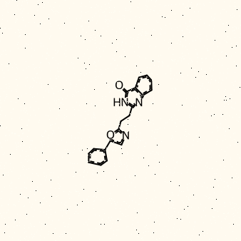 O=c1[nH]c(CCc2ncc(-c3ccccc3)o2)nc2ccccc12